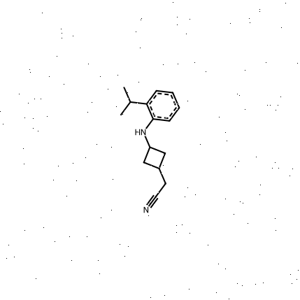 CC(C)c1ccccc1NC1CC(CC#N)C1